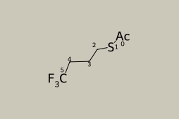 CC(=O)SCCCC(F)(F)F